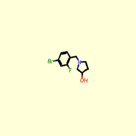 OC1CCN(Cc2ccc(Br)cc2F)C1